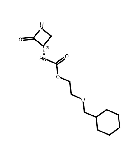 O=C(N[C@H]1CNC1=O)OCCOCC1CCCCC1